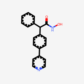 O=C(NO)C(c1ccccc1)c1ccc(-c2ccncc2)cc1